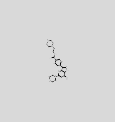 O=C(OCCN1CCOCC1)c1ccc(-c2csc3c(=O)cc(N4CCOCC4)oc23)cc1